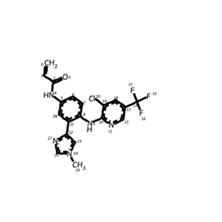 C=CC(=O)Nc1ccc(Nc2ncc(C(F)(F)F)cc2Cl)c(-c2cn(C)cn2)c1